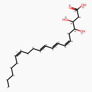 CCCCC/C=C\CC/C=C/C=C/C=C\CC(O)C(O)CC(=O)O